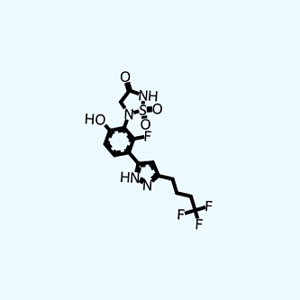 O=C1CN(c2c(O)ccc(-c3cc(CCCC(F)(F)F)n[nH]3)c2F)S(=O)(=O)N1